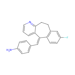 Nc1ccc(/C=C2/c3ccc(F)cc3CCc3ncccc32)cc1